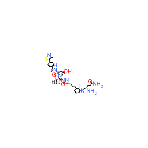 Cc1ncsc1-c1ccc([C@H](C)NC(=O)[C@@H]2C[C@@H](O)CN2C(=O)[C@@H](NC(=O)OCCCCc2cccc(N(C)CC(N)CCC(N)=O)c2F)C(C)(C)C)cc1